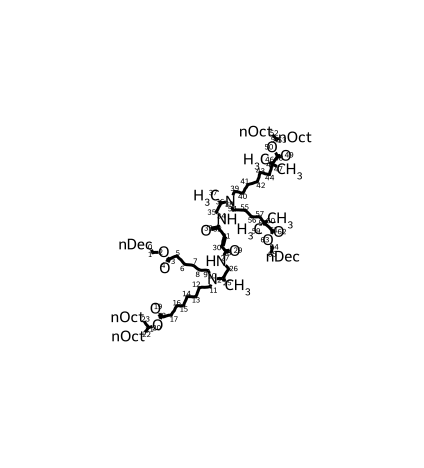 CCCCCCCCCCCOC(=O)CCCCCN(CCCCCCCC(=O)OC(CCCCCCCC)CCCCCCCC)C(C)CNC(=O)/C=C/C(=O)NCC(C)N(CCCCCCC(C)(C)C(=O)OC(CCCCCCCC)CCCCCCCC)CCCCC(C)(C)C(=O)OCCCCCCCCCCC